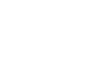 C[SiH](C)CC#CC12CC3CC(C1)CC(C#C[Si](C)(C)C)(C3)C2